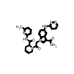 Cc1cccc(NC(=O)C2CC=CCN2C(=O)Cn2cc(C(N)=O)c3cc(Nc4cccnn4)ccc32)n1